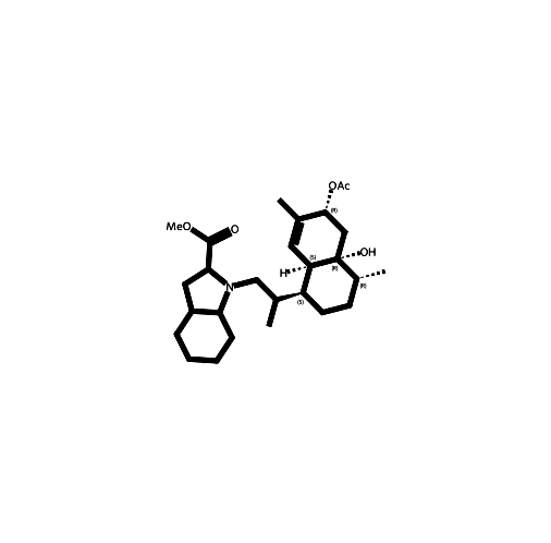 COC(=O)C1CC2CCCCC2N1CC(C)[C@@H]1CC[C@@H](C)[C@]2(O)[CH][C@@H](OC(C)=O)C(C)=C[C@H]12